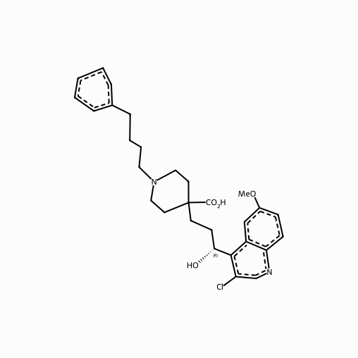 COc1ccc2ncc(Cl)c([C@H](O)CCC3(C(=O)O)CCN(CCCCc4ccccc4)CC3)c2c1